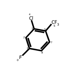 Fc1[c]c(Cl)c(C(F)(F)F)cc1